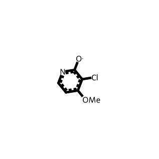 COc1ccnc([O])c1Cl